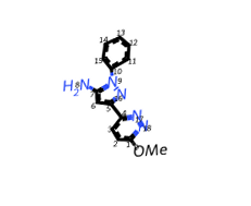 COc1ccc(-c2cc(N)n(-c3ccccc3)n2)nn1